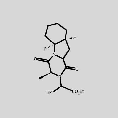 CCCC(C(=O)OCC)N1C(=O)C2C[C@@H]3CCCC[C@@H]3N2C(=O)[C@@H]1C